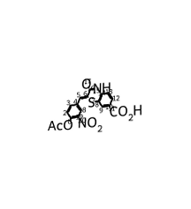 CC(=O)Oc1ccc(/C=C2\Sc3cc(C(=O)O)ccc3NC2=O)cc1[N+](=O)[O-]